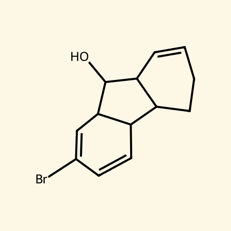 OC1C2C=C(Br)C=CC2C2CCC=CC12